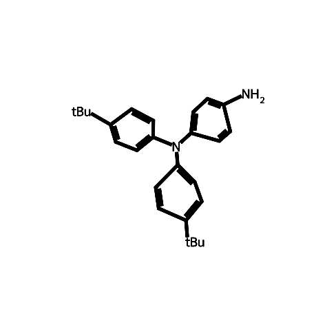 CC(C)(C)c1ccc(N(c2ccc(N)cc2)c2ccc(C(C)(C)C)cc2)cc1